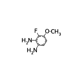 COc1ccc(N)c(N)c1F